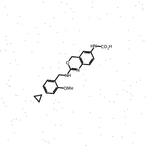 C1CC1.COc1ccccc1CNC1=Nc2ccc(NC(=O)O)cc2CO1